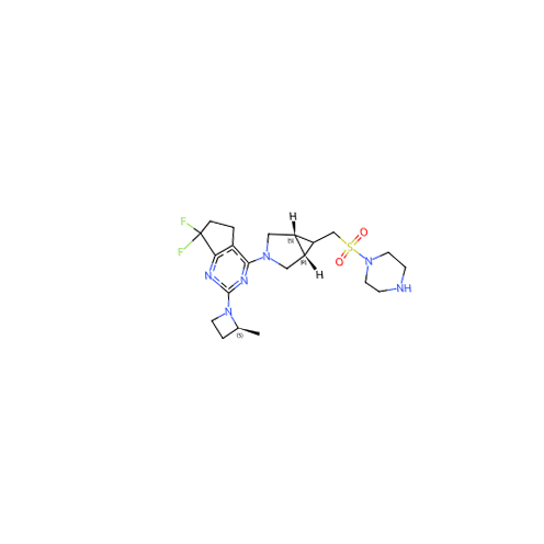 C[C@H]1CCN1c1nc(N2C[C@@H]3C(CS(=O)(=O)N4CCNCC4)[C@@H]3C2)c2c(n1)C(F)(F)CC2